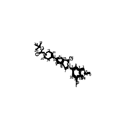 Cn1cc2cc(N3Cc4cc(C5=CCN(C(=O)OC(C)(C)C)CC5)sc4C3=O)cc(F)c2n1